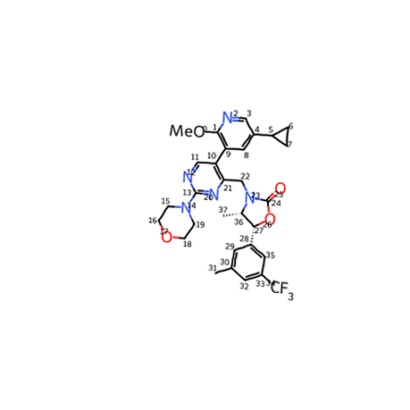 COc1ncc(C2CC2)cc1-c1cnc(N2CCOCC2)nc1CN1C(=O)O[C@H](c2cc(C)cc(C(F)(F)F)c2)[C@@H]1C